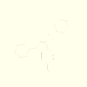 O=S(=O)(c1ccc(F)cc1)n1cc(-c2ccccc2)c2cc(O)ccc21